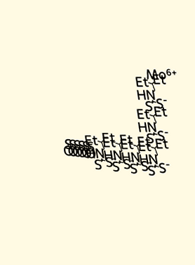 CCC(CC)CNC(=S)[S-].CCC(CC)CNC(=S)[S-].CCC(CC)CNC(=S)[S-].CCC(CC)CNC(=S)[S-].CCC(CC)CNC(=S)[S-].CCC(CC)CNC(=S)[S-].O=S.O=S.O=S.O=S.O=S.O=S.[Mo+6]